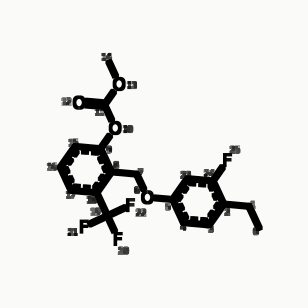 CCc1ccc(OCc2c(OC(=O)OC)cccc2C(F)(F)F)cc1F